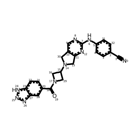 N#Cc1ccc(Nc2ncc3c(n2)CN(C2CN(C(=O)c4ccc5[nH]nnc5c4)C2)C3)cc1